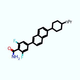 CCCC1CCC(c2ccc3cc(-c4cc(F)c(C(N)=O)c(F)c4)ccc3c2)CC1